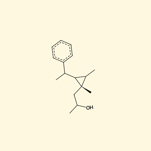 CC(O)C[C@@]1(C)C(C)C1C(C)c1ccccc1